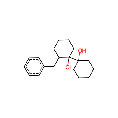 OC1(C2(O)CCCCC2Cc2ccccc2)CCCCC1